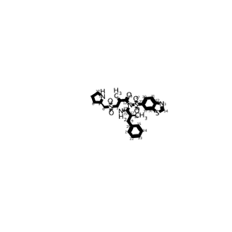 CC(CS(=O)(=O)C[C@H]1CCCN1)C(=O)N([C@H](N)[C@@H](C)Cc1ccccc1)S(=O)(=O)c1ccc2ncsc2c1